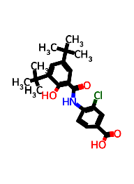 CC(C)(C)c1cc(C(=O)Nc2ccc(C(=O)O)cc2Cl)c(O)c(C(C)(C)C)c1